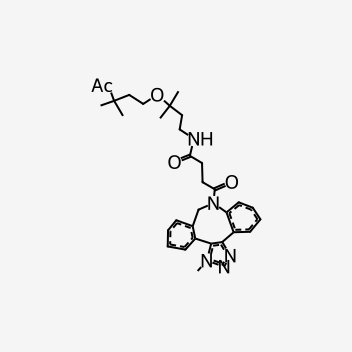 CC(=O)C(C)(C)CCOC(C)(C)CCNC(=O)CCC(=O)N1Cc2ccccc2-c2c(nnn2C)-c2ccccc21